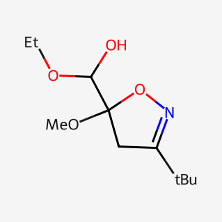 CCOC(O)C1(OC)CC(C(C)(C)C)=NO1